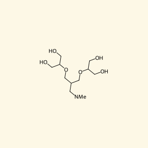 CNCC(COC(CO)CO)COC(CO)CO